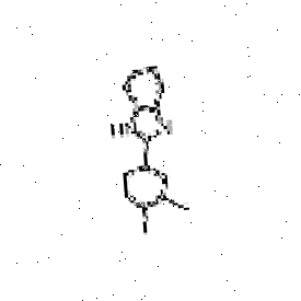 Fc1ccc(-c2nc3ccccc3[nH]2)cc1F